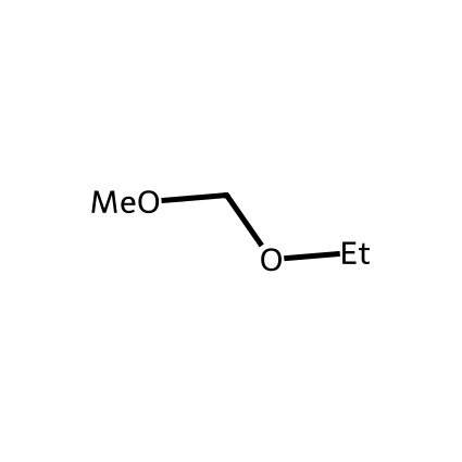 CCOCOC